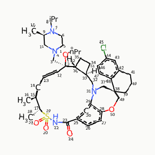 CCCO[C@]1(CN2CCN(C(C)C)[C@H](C)C2)/C=C/C[C@H](C)[C@@H](C)S(=O)(=O)NC(=O)c2ccc3c(c2)N(C[C@@H]2CC[C@H]21)C[C@@]1(CCCc2cc(Cl)ccc21)CO3